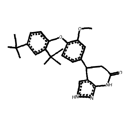 COc1cc(C2CC(=O)Nc3n[nH]cc32)ccc1Oc1ccc(C(C)(C)C)cc1C(C)(C)C